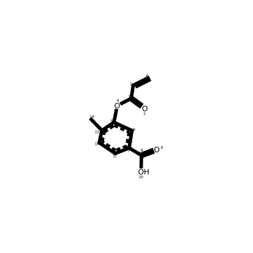 C=CC(=O)Oc1cc(C(=O)O)ccc1C